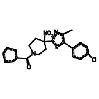 Cc1nc(C2([N+](=O)[O-])CCN(C(=O)c3ccccc3)CC2)sc1-c1ccc(Cl)cc1